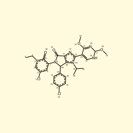 CCn1cc(Cl)cc(N2C(=O)c3nc(C4=CNC(OC)N=C4OC)n(C(C)C)c3C2c2ccc(Cl)cc2)c1=O